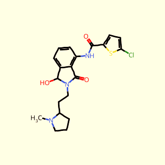 CN1CCCC1CCN1C(=O)c2c(NC(=O)c3ccc(Cl)s3)cccc2C1O